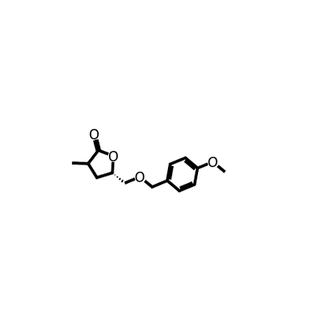 COc1ccc(COC[C@@H]2CC(C)C(=O)O2)cc1